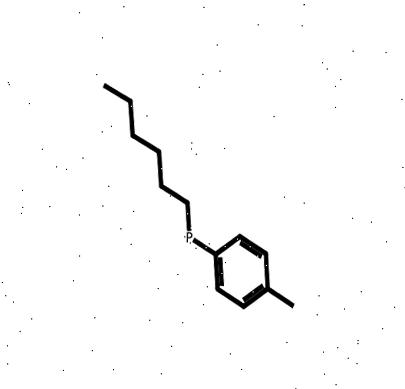 CCCCCC[P]c1ccc(C)cc1